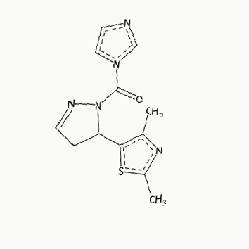 Cc1nc(C)c(C2CC=NN2C(=O)n2ccnc2)s1